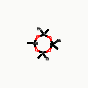 CC[Si]1(C)O[SiH](C)O[Si](C)(CC)O[Si](C)(CC)O1